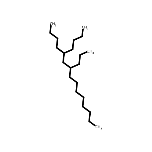 CCCCCCCCC([CH]C(CCCC)CCCC)CCC